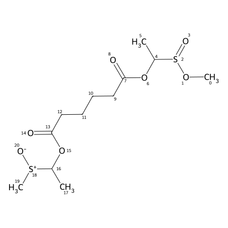 COS(=O)C(C)OC(=O)CCCCC(=O)OC(C)[S+](C)[O-]